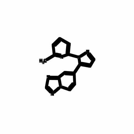 Cc1cccc(-n2nccc2-c2ccn3ncnc3c2)n1